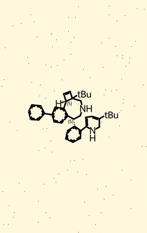 CC(C)(C)C1=CC=C(c2ccccc2[C@H]2CNCC3(C(C)(C)C)C=C[C@H]3c3cc(-c4ccccc4)ccc32)NC1